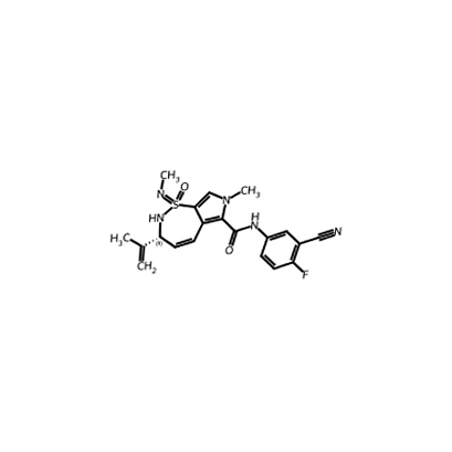 C=C(C)[C@H]1C=Cc2c(cn(C)c2C(=O)Nc2ccc(F)c(C#N)c2)S(=O)(=NC)N1